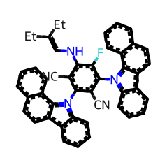 CCC(=CNc1c(F)c(-n2c3ccccc3c3ccc4ccccc4c32)c(C#N)c(-n2c3ccccc3c3ccc4ccccc4c32)c1C#N)CC